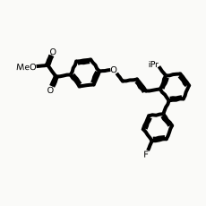 COC(=O)C(=O)c1ccc(OCC=Cc2c(-c3ccc(F)cc3)cccc2C(C)C)cc1